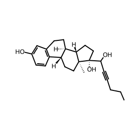 CCCC#CC(O)[C@]1(O)CC[C@H]2[C@@H]3CCc4cc(O)ccc4[C@H]3CC[C@@]21C